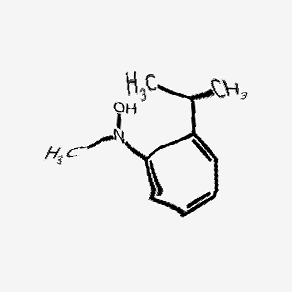 CC(C)c1ccccc1N(C)O